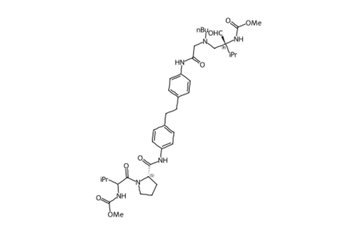 CCCCN(CC(=O)Nc1ccc(CCc2ccc(NC(=O)[C@@H]3CCCN3C(=O)C(NC(=O)OC)C(C)C)cc2)cc1)C[C@](C=O)(NC(=O)OC)C(C)C